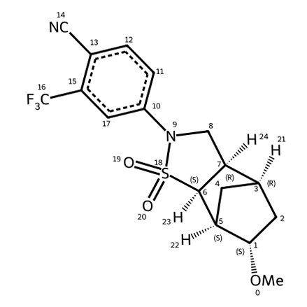 CO[C@H]1C[C@H]2C[C@@H]1[C@@H]1[C@H]2CN(c2ccc(C#N)c(C(F)(F)F)c2)S1(=O)=O